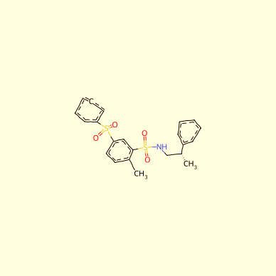 Cc1ccc(S(=O)(=O)c2ccccc2)cc1S(=O)(=O)NC[C@@H](C)c1ccccc1